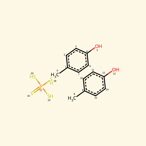 Cc1ccc(O)cc1.Cc1ccc(O)cc1.S=P(S)(S)S